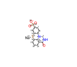 O=C1NCN2c3ccc(S(=O)(=O)[O-])cc3Sc3cccc1c32.[Na+]